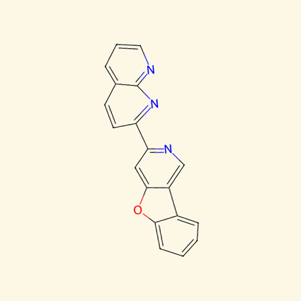 c1cnc2nc(-c3cc4oc5ccccc5c4cn3)ccc2c1